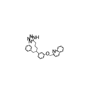 c1ccc(CC(CCCc2nnn[nH]2)c2cccc(OCc3ccc4ccccc4n3)c2)cc1